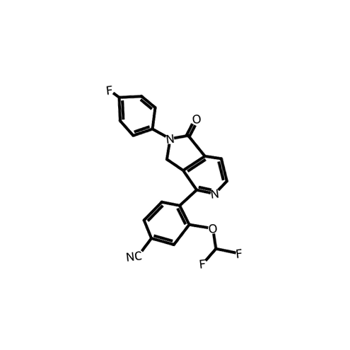 N#Cc1ccc(-c2nccc3c2CN(c2ccc(F)cc2)C3=O)c(OC(F)F)c1